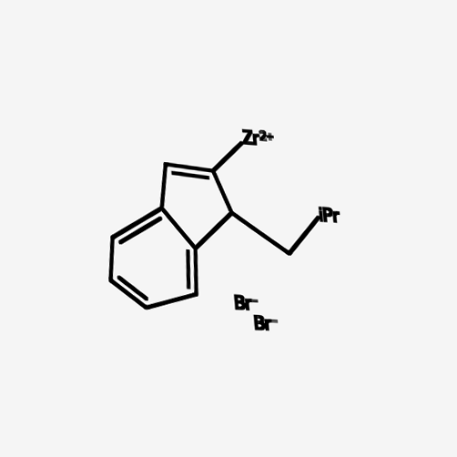 CC(C)CC1[C]([Zr+2])=Cc2ccccc21.[Br-].[Br-]